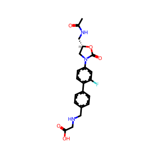 CC(=O)NC[C@H]1CN(c2ccc(-c3ccc(CNCC(=O)O)cc3)c(F)c2)C(=O)O1